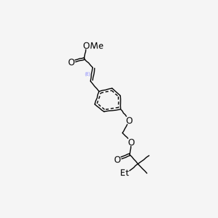 CCC(C)(C)C(=O)OCOc1ccc(/C=C/C(=O)OC)cc1